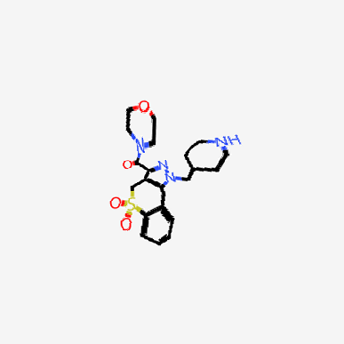 O=C(c1nn(CC2CCNCC2)c2c1CS(=O)(=O)c1ccccc1-2)N1CCOCC1